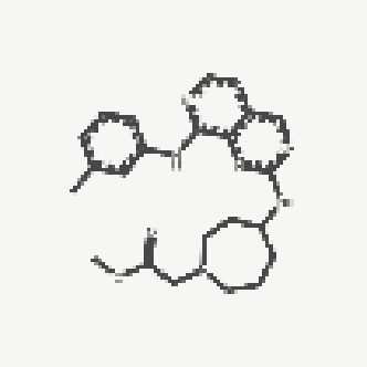 COC(=O)CN1CCCC(Nc2ncc3ncnc(Nc4cccc(C)c4)c3n2)CC1